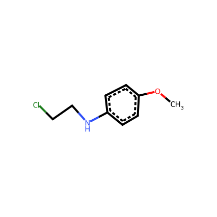 COc1ccc(NCCCl)cc1